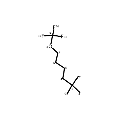 CC(C)(C)CCCCOC(F)(F)F